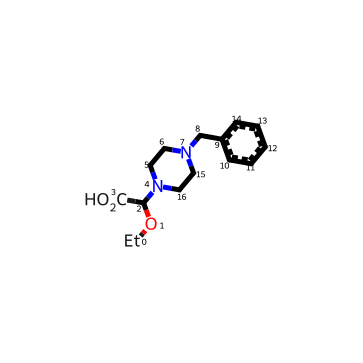 CCOC(C(=O)O)N1CCN(Cc2ccccc2)CC1